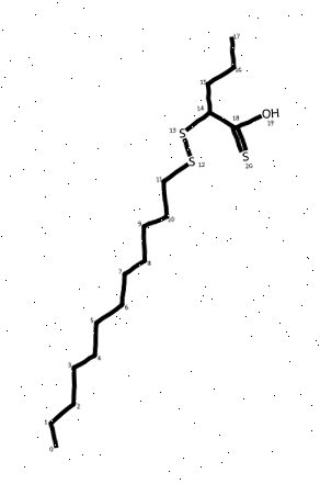 CCCCCCCCCCCCSSC(CCC)C(O)=S